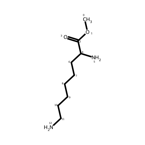 COC(=O)C(N)CCCCCCN